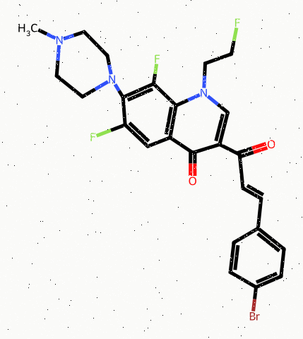 CN1CCN(c2c(F)cc3c(=O)c(C(=O)C=Cc4ccc(Br)cc4)cn(CCF)c3c2F)CC1